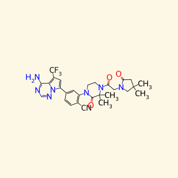 CC1(C)CC(=O)N(CC(=O)N2CCN(c3cc(-c4cc(C(F)(F)F)c5c(N)ncnn45)ccc3C#N)C(=O)C2(C)C)C1